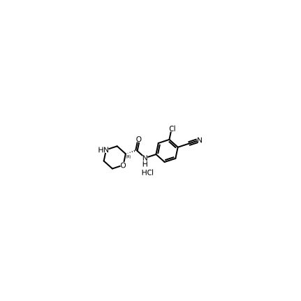 Cl.N#Cc1ccc(NC(=O)[C@H]2CNCCO2)cc1Cl